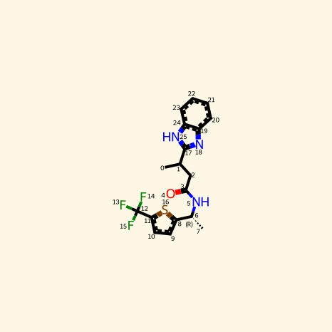 CC(CC(=O)N[C@H](C)c1ccc(C(F)(F)F)s1)c1nc2ccccc2[nH]1